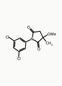 COC1(C)CC(=O)N(c2cc(Cl)cc(Cl)c2)C1=O